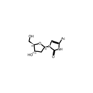 CC(=O)c1cn([C@H]2C[C@H](O)[C@@H](CO)O2)c(=O)[nH]1